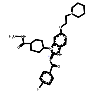 CNC(=O)C1CCC(n2/c(=N/C(=O)c3ccc(F)cc3)[nH]c3cnc(OCCN4CCCCC4)cc32)CC1